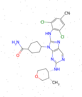 C[C@@H]1COCC[C@@H]1Nc1ncc2nc(Nc3c(Cl)cc(C#N)cc3Cl)n(C3CCC(C(N)=O)CC3)c2n1